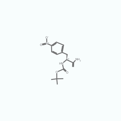 C=C(N)[C@H](Cc1ccc([N+](=O)[O-])cc1)NC(=O)OC(C)(C)C